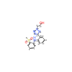 CS(=O)(=O)c1ccccc1Nc1ccccc1-c1nnn(CCO)n1